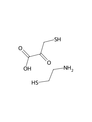 NCCS.O=C(O)C(=O)CS